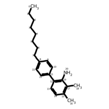 CCCCCCCCc1ccc(-c2ccc(C)c(C)c2N)cc1